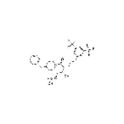 O=C([C@H](CCCc1cc(C(F)(F)F)cc(C(F)(F)F)c1)[C@H](O)CONO)N1CCC(Cc2ccccc2)CC1